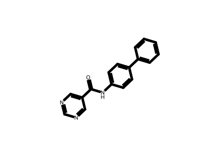 O=C(Nc1ccc(-c2ccccc2)cc1)c1cncnc1